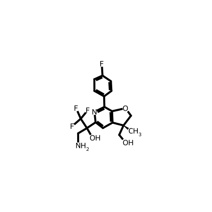 C[C@]1(CO)COc2c1cc(C(O)(CN)C(F)(F)F)nc2-c1ccc(F)cc1